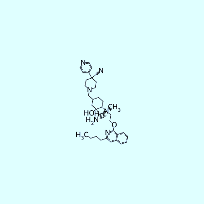 CCCCc1cc2ccccc2c(OCC[N+](C)(C)[C@H]2CCC(CN3CCC(C#N)(c4ccncc4)CC3)C[C@@]2(O)C(N)=O)n1